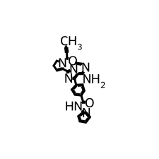 CC#CC(=O)N1CCC=C1c1nc(-c2ccc(C(=O)Nc3ccccn3)cc2)c2c(N)nccn12